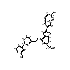 COc1cc(OCc2ccnc(-c3cccc(F)c3)n2)c2cc(-c3cn4nc(C)cnc4n3)oc2c1